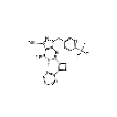 CC(c1ccc(C(F)(F)F)nc1)n1nc(C#N)c2c(=O)[nH]c(N3CCC3c3ncccn3)nc21